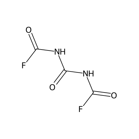 O=C(F)NC(=O)NC(=O)F